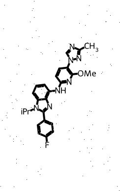 COc1nc(Nc2cccc3c2nc(-c2ccc(F)cc2)n3C(C)C)ccc1-n1cnc(C)n1